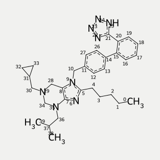 CCCCCc1nc2c(n1Cc1ccc(-c3ccccc3-c3nnn[nH]3)cc1)CN(CC1CC1)CN2CC(C)C